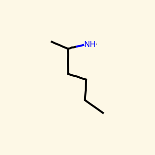 CCCCC(C)[NH]